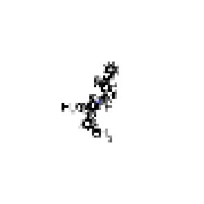 COc1cccc(COc2cc(/C=C/C3NCCc4cc(OCc5ccccc5)c(OC)cc43)c(C)cc2OC)c1